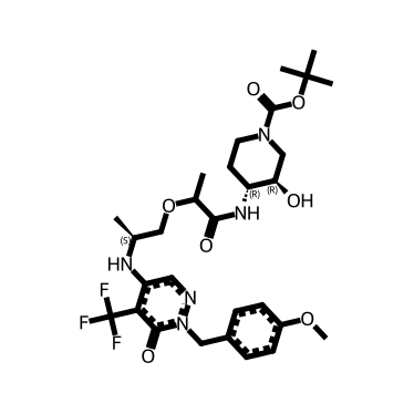 COc1ccc(Cn2ncc(N[C@@H](C)COC(C)C(=O)N[C@@H]3CCN(C(=O)OC(C)(C)C)C[C@H]3O)c(C(F)(F)F)c2=O)cc1